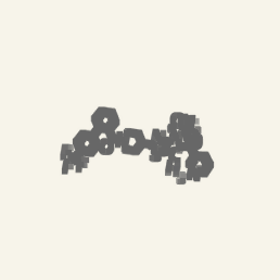 CC[N+](C(=O)[O-])(c1csc(C2CCN(C(=O)c3ccccc3-c3ccc(C(F)(F)F)cc3)CC2)n1)C(C)C(=O)c1cccnc1